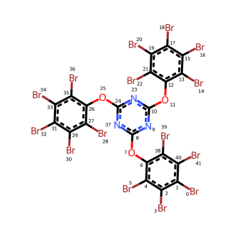 Brc1c(Br)c(Br)c(Oc2nc(Oc3c(Br)c(Br)c(Br)c(Br)c3Br)nc(Oc3c(Br)c(Br)c(Br)c(Br)c3Br)n2)c(Br)c1Br